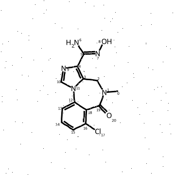 CN1Cc2c(C(N)=NO)ncn2-c2cccc(Cl)c2C1=O